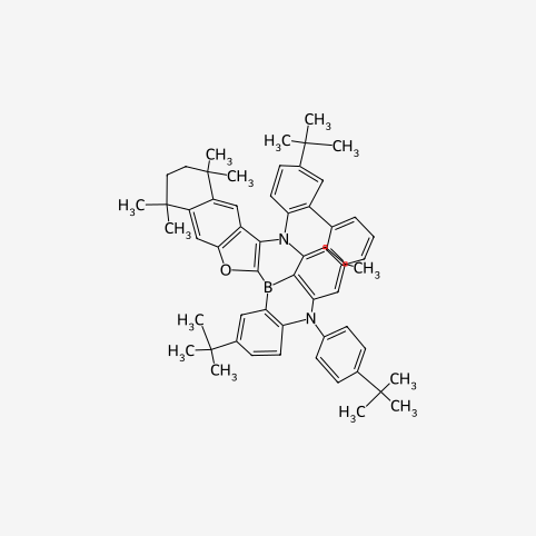 Cc1cc2c3c(c1)N(c1ccc(C(C)(C)C)cc1-c1ccccc1)c1c(oc4cc5c(cc14)C(C)(C)CCC5(C)C)B3c1cc(C(C)(C)C)ccc1N2c1ccc(C(C)(C)C)cc1